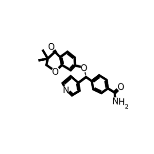 CC1(C)COc2cc(O[C@@H](c3ccncc3)c3ccc(C(N)=O)cc3)ccc2C1=O